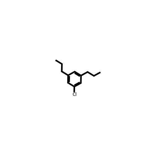 CCCc1cc(Cl)cc(CCC)c1